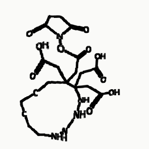 O=C(O)CC1(CC(=O)ON2C(=O)CCC2=O)CCCCCCNNNNC1(CC(=O)O)CC(=O)O